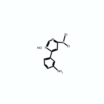 CCN(CC)c1cc(-c2cccc(N)c2)ncn1.Cl